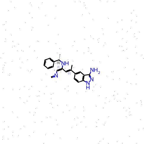 C=N/C=C(\C=C(/C)c1ccc2[nH]nc(N)c2c1)N[C@@H](C)c1ccccc1